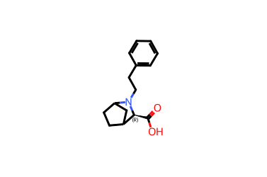 O=C(O)[C@H]1C2CCC(C2)N1CCc1ccccc1